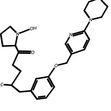 CC(CCC(=O)C1CCCN1O)Cc1cccc(OCc2ccc(N3CCOCC3)nc2)c1